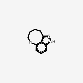 c1cc2c3c(n[nH]c3c1)CCCCO2